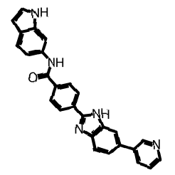 O=C(Nc1ccc2cc[nH]c2c1)c1ccc(-c2nc3ccc(-c4cccnc4)cc3[nH]2)cc1